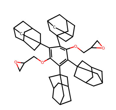 C1C2CC3CC1CC(c1c(OCC4CO4)c(C45CC6CC(CC(C6)C4)C5)c(C45CC6CC(CC(C6)C4)C5)c(OCC4CO4)c1C14CC5CC(CC(C5)C1)C4)(C2)C3